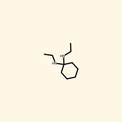 CCNC1(NCC)CCCCC1